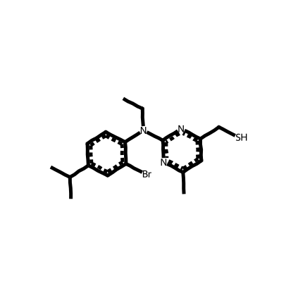 CCN(c1nc(C)cc(CS)n1)c1ccc(C(C)C)cc1Br